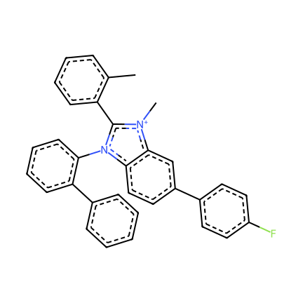 Cc1ccccc1-c1n(-c2ccccc2-c2ccccc2)c2ccc(-c3ccc(F)cc3)cc2[n+]1C